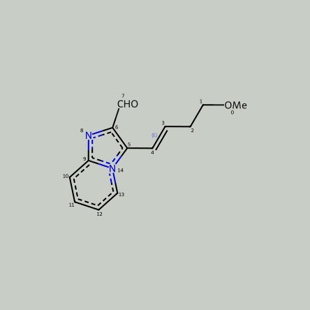 COCC/C=C/c1c(C=O)nc2ccccn12